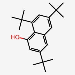 CC(C)(C)c1cc(O)c2c(C(C)(C)C)cc(C(C)(C)C)cc2c1